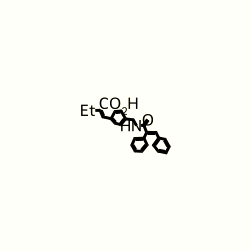 CCC(=Cc1ccc(CNC(=O)C(=Cc2ccccc2)c2ccccc2)cc1)C(=O)O